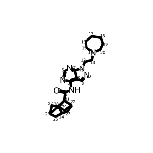 O=C(Nc1ncnc2c1cnn2CCN1CCCCCC1)C12C3CC4CC1CC42C3